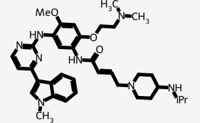 COc1cc(OCCN(C)C)c(NC(=O)/C=C/CN2CCC(NC(C)C)CC2)cc1Nc1nccc(-c2cn(C)c3ccccc23)n1